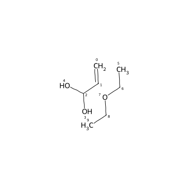 C=CC(O)O.CCOCC